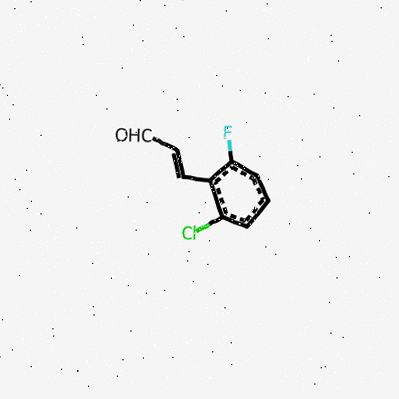 O=CC=Cc1c(F)cccc1Cl